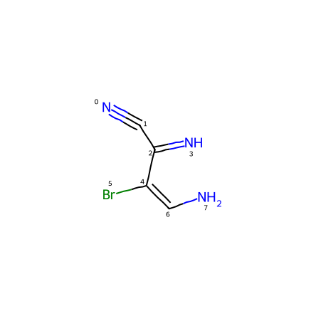 N#CC(=N)/C(Br)=C\N